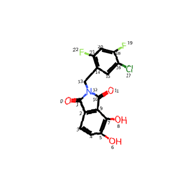 O=C1c2ccc(O)c(O)c2C(=O)N1Cc1cc(Cl)c(F)cc1F